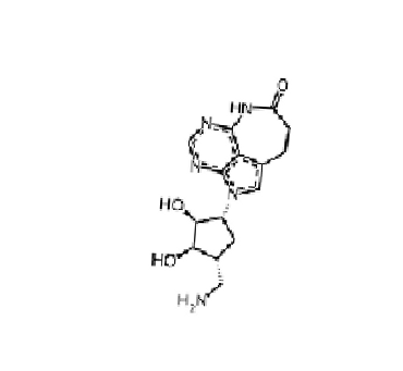 NC[C@H]1C[C@@H](n2cc3c4c(ncnc42)NC(=O)CC3)[C@H](O)[C@@H]1O